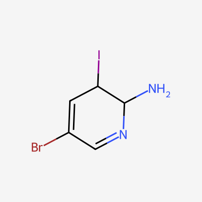 NC1N=CC(Br)=CC1I